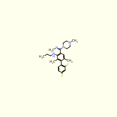 CCCNc1c(/C(=N\C)N2CCN(C)CC2)cc(C)c(-c2ccc(F)cc2F)c1C